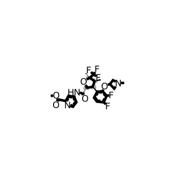 COC(=O)c1cc(NC(=O)[C@@H]2O[C@@](C)(C(F)(F)F)[C@@H](C)[C@H]2c2ccc(F)c(F)c2OC2CN(C)C2)ccn1